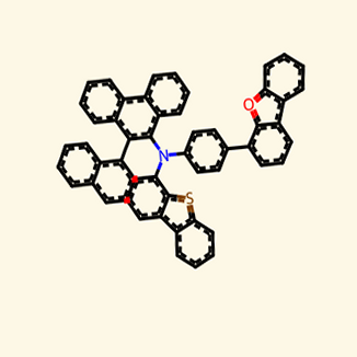 c1ccc2c(-c3c(N(c4ccc(-c5cccc6c5oc5ccccc56)cc4)c4cccc5c4sc4ccccc45)c4ccccc4c4ccccc34)cccc2c1